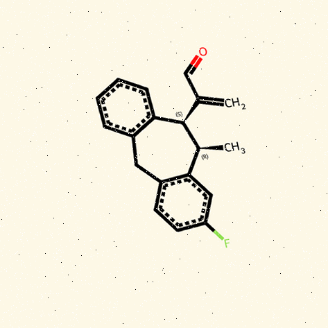 C=C(C=O)[C@@H]1c2ccccc2Cc2ccc(F)cc2[C@@H]1C